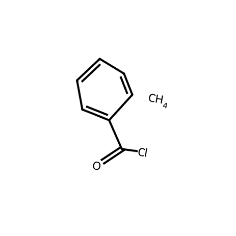 C.O=C(Cl)c1ccccc1